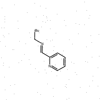 CCC(C)CN=Cc1ccccn1